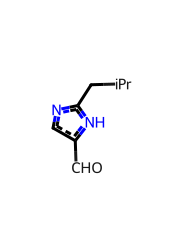 CC(C)Cc1ncc(C=O)[nH]1